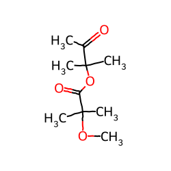 COC(C)(C)C(=O)OC(C)(C)C(C)=O